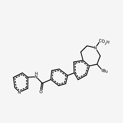 CC(C)(C)C1CN(C(=O)O)CCc2cc(-c3ccc(C(=O)Nc4cccnc4)cc3)ccc21